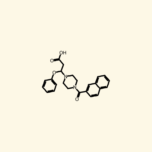 O=C(O)CC(Oc1ccccc1)N1CCN(C(=O)c2ccc3ccccc3c2)CC1